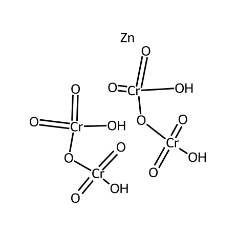 [O]=[Cr](=[O])([OH])[O][Cr](=[O])(=[O])[OH].[O]=[Cr](=[O])([OH])[O][Cr](=[O])(=[O])[OH].[Zn]